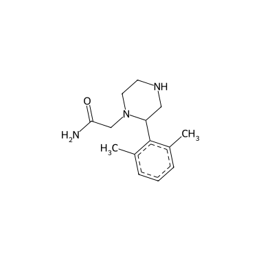 Cc1cccc(C)c1C1CNCCN1CC(N)=O